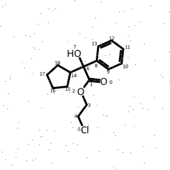 O=C(OCCCl)C(O)(c1ccccc1)C1CCCC1